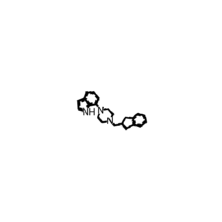 c1ccc2c(c1)CC(CN1CCN(c3cccc4cc[nH]c34)CC1)C2